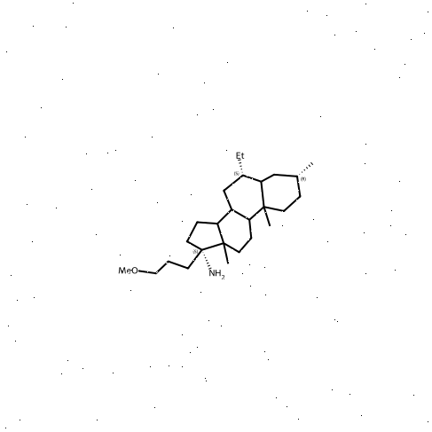 CC[C@H]1CC2C(CCC3(C)C2CC[C@]3(N)CCCOC)C2(C)CC[C@@H](C)CC12